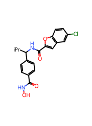 CC(C)C(NC(=O)c1cc2cc(Cl)ccc2o1)c1ccc(C(=O)NO)cc1